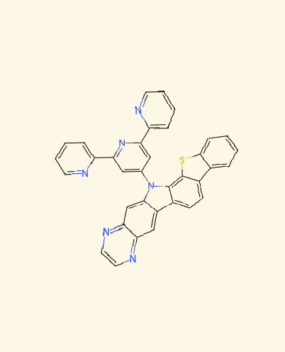 c1ccc(-c2cc(-n3c4cc5nccnc5cc4c4ccc5c6ccccc6sc5c43)cc(-c3ccccn3)n2)nc1